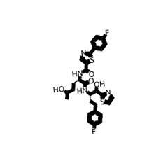 CC(O)CC[C@H](NC(=O)c1cnc(-c2ccc(F)cc2)s1)C(=O)N[C@@H](CCc1ccc(F)cc1)C(O)c1nccs1